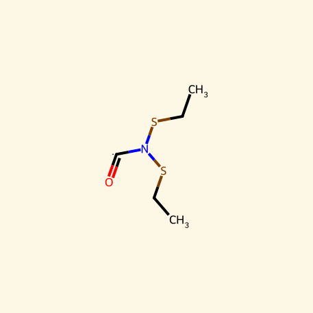 CCSN([C]=O)SCC